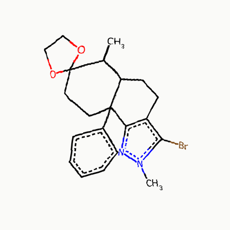 CC1C2CCc3c(nn(C)c3Br)C2(c2ccccc2)CCC12OCCO2